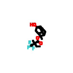 CCC(C)(C(=O)OC1(C)C2CC3CC1CC(O)(C3)C2)C(F)(F)F